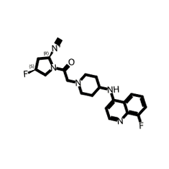 C#[N+][C@@H]1C[C@H](F)CN1C(=O)CN1CCC(Nc2ccnc3c(F)cccc23)CC1